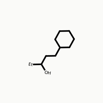 CCC(O)CCC1CCCCC1